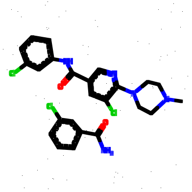 CN1CCN(c2ncc(C(=O)Nc3cccc(Cl)c3)cc2Cl)CC1.NC(=O)c1cccc(Cl)c1